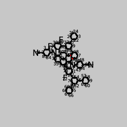 N#Cc1ccc(N(c2cc(-c3cc(-c4ccccc4)cc(-c4ccccc4)c3)c(F)cc2F)c2ccc3ccc4c(N(c5ccc(C#N)cc5)c5cc(-c6cc(-c7ccccc7)cc(-c7ccccc7)c6)c(F)cc5F)ccc5ccc2c3c54)cc1